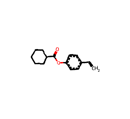 C=Cc1ccc(OC(=O)C2CCCCC2)cc1